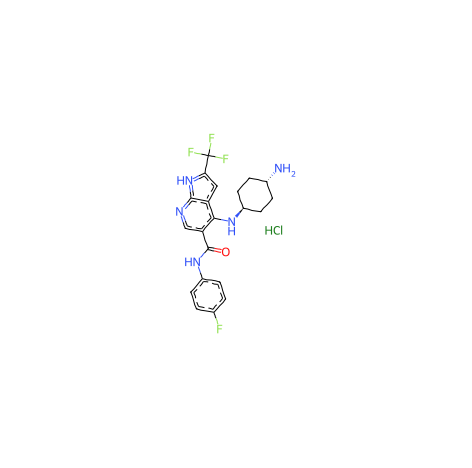 Cl.N[C@H]1CC[C@H](Nc2c(C(=O)Nc3ccc(F)cc3)cnc3[nH]c(C(F)(F)F)cc23)CC1